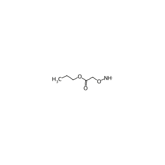 CCCOC(=O)CO[NH]